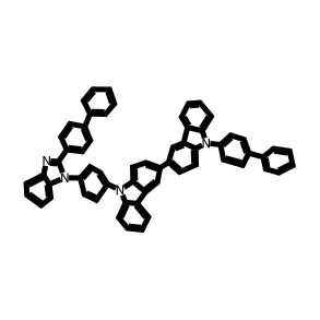 c1ccc(-c2ccc(-c3nc4ccccc4n3-c3ccc(-n4c5ccccc5c5cc(-c6ccc7c(c6)c6ccccc6n7-c6ccc(-c7ccccc7)cc6)ccc54)cc3)cc2)cc1